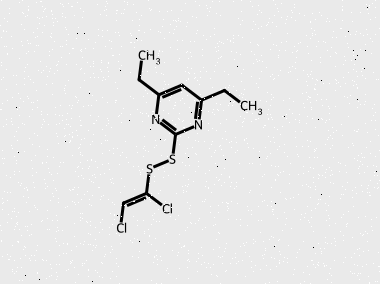 CCc1cc(CC)nc(SSC(Cl)=CCl)n1